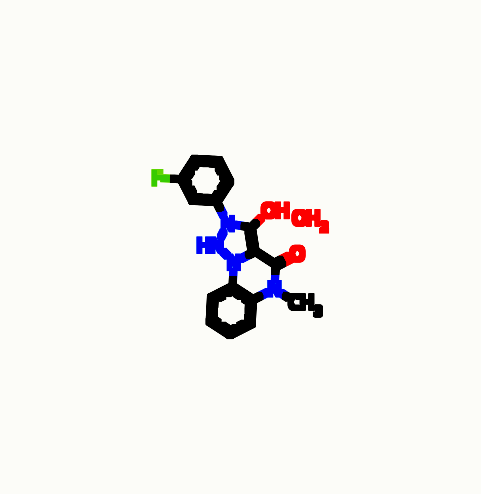 CN1C(=O)C2=C(O)N(c3cccc(F)c3)NN2c2ccccc21.O